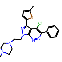 Cc1ccc(-c2nn(CCN3CCN(C)CC3)c3nnc(-c4ccccc4)c(Cl)c23)s1